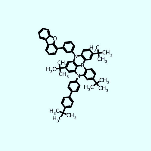 CC(C)(C)c1ccc(-c2ccc(N3c4cc(C(C)(C)C)ccc4B4c5cc(C(C)(C)C)ccc5N(c5cccc(-c6cccc7c6oc6ccccc67)c5)c5cc(C(C)(C)C)cc3c54)cc2)cc1